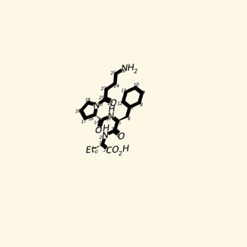 CC[C@H](NC(=O)[C@H](CC1CCCCC1)NC(=O)[C@@H]1CCCN1C(=O)CCCN)C(=O)O